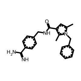 Cc1cc(C(=O)NCc2ccc(C(=N)N)cc2)c(C)n1Cc1ccccc1